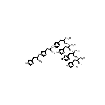 NC(Cc1c[nH]cn1)C(=O)O.NC(Cc1c[nH]cn1)C(=O)O.NC(Cc1c[nH]cn1)C(=O)O.NC(Cc1c[nH]cn1)C(=O)O.NC(Cc1c[nH]cn1)C(=O)O.NC(Cc1c[nH]cn1)C(=O)O.[Ni]